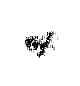 CCOC(=O)C(C)OC(=O)c1cc(Oc2ccc(C(F)(F)F)cc2Cl)ccc1[N+](=O)[O-].CCc1cccc(C)c1N(C(=O)CCl)C(C)COC.CP(=O)(O)CCC(N)C(=O)O.CS(=O)(=O)c1ccc(C(=O)C2C(=O)CCCC2=O)c([N+](=O)[O-])c1